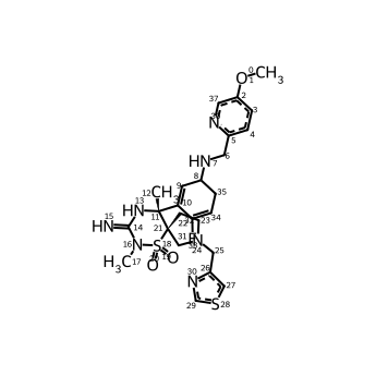 COc1ccc(CNC2C=C([C@@]3(C)NC(=N)N(C)S(=O)(=O)[C@]34CCN(Cc3cscn3)C4)C(F)=CC2)nc1